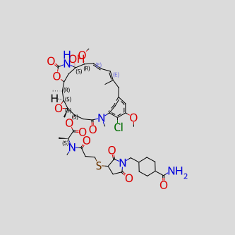 COc1cc2cc(c1Cl)N(C)C(=O)C[C@H](OC(=O)[C@H](C)N(C)C(=O)CCSC1CC(=O)N(CC3CCC(C(N)=O)CC3)C1=O)[C@]1(C)O[C@H]1[C@H](C)C1C[C@@](O)(NC(=O)O1)[C@H](OC)/C=C/C=C(\C)C2